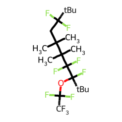 CC(C)(C)C(F)(F)CC(C)(C)C(C)(C)C(F)(F)C(F)(OC(F)(F)C(F)(F)F)C(C)(C)C